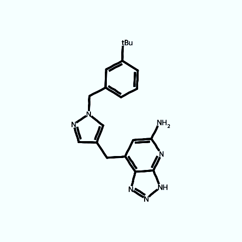 CC(C)(C)c1cccc(Cn2cc(Cc3cc(N)nc4[nH]nnc34)cn2)c1